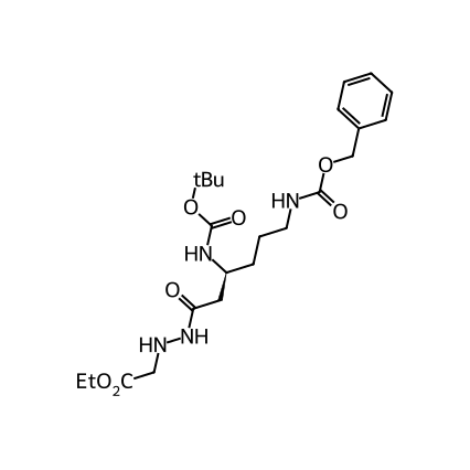 CCOC(=O)CNNC(=O)C[C@H](CCCNC(=O)OCc1ccccc1)NC(=O)OC(C)(C)C